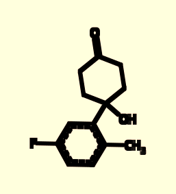 Cc1ccc(F)cc1C1(O)CCC(=O)CC1